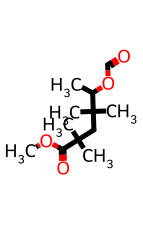 COC(=O)C(C)(C)CC(C)(C)C(C)OC=O